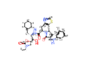 CCN1CC([C@H](O)[C@H](CC2CCCCC2)NC(=O)C(Cc2cscn2)N2Cc3c([nH]c4ccccc34)C2=O)OC1=O